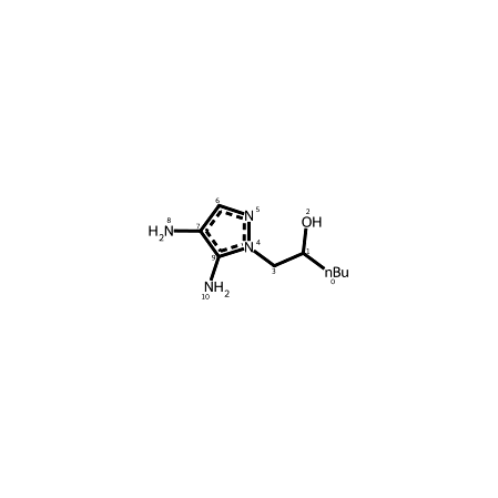 CCCCC(O)Cn1ncc(N)c1N